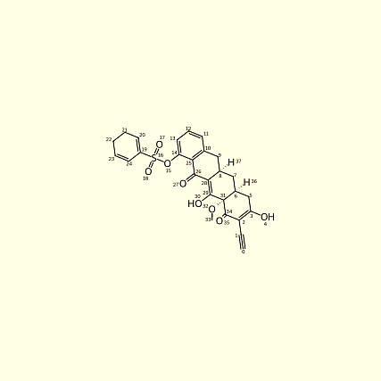 C#CC1=C(O)C[C@@H]2C[C@@H]3Cc4cccc(OS(=O)(=O)C5=CCCC=C5)c4C(=O)C3=C(O)[C@]2(OI)C1=O